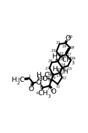 C=CC(=O)OC(C)C(=O)[C@@]1(O)CC[C@H]2[C@@H]3CCC4=CC(=O)CC[C@]4(C)[C@H]3CC[C@@]21C